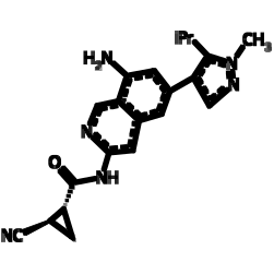 CC(C)c1c(-c2cc(N)c3cnc(NC(=O)[C@@H]4C[C@H]4C#N)cc3c2)cnn1C